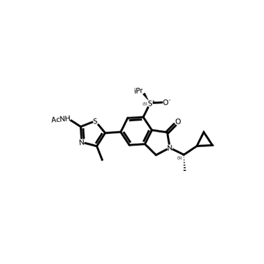 CC(=O)Nc1nc(C)c(-c2cc3c(c([S@+]([O-])C(C)C)c2)C(=O)N([C@@H](C)C2CC2)C3)s1